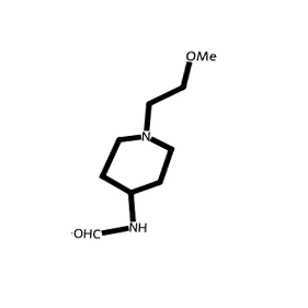 COCCN1CCC(N[C]=O)CC1